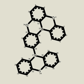 c1ccc2c(c1)Oc1cccc3c1B2c1cc(N2c4ccccc4Sc4ccccc42)ccc1O3